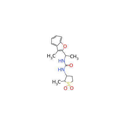 Cc1c(C(C)NC(=O)NC2CCS(=O)(=O)C2C)oc2ccccc12